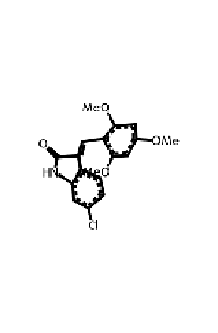 COc1cc(OC)c(C=C2C(=O)Nc3cc(Cl)ccc32)c(OC)c1